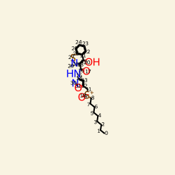 CCCCCCCCC[S+]([O-])Cc1cc(NC(=O)C2=C(O)c3ccccc3SN2C)no1